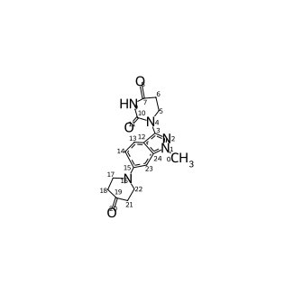 Cn1nc(N2CCC(=O)NC2=O)c2ccc(N3CCC(=O)CC3)cc21